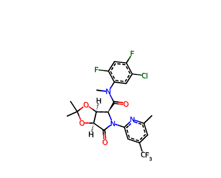 Cc1cc(C(F)(F)F)cc(N2C(=O)[C@H]3OC(C)(C)O[C@H]3[C@H]2C(=O)N(C)c2cc(Cl)c(F)cc2F)n1